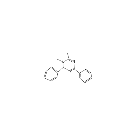 CC1=NC(c2ccccc2)=NC(c2ccccc2)N1C